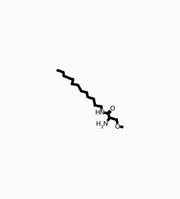 CCCCCCCCCCCCNC(=O)C(N)COC